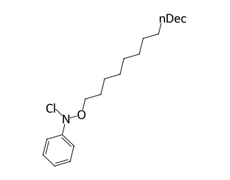 CCCCCCCCCCCCCCCCCCON(Cl)c1ccccc1